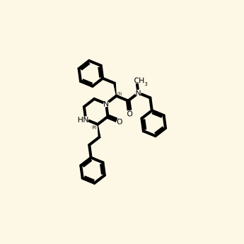 CN(Cc1ccccc1)C(=O)[C@H](Cc1ccccc1)N1CCN[C@H](CCc2ccccc2)C1=O